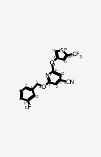 N#Cc1cc(OCc2cccc(F)c2)nc(Oc2csc(C(F)(F)F)c2)c1